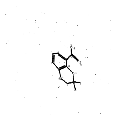 CC1(C)CNc2cccc(C(=O)O)c2O1